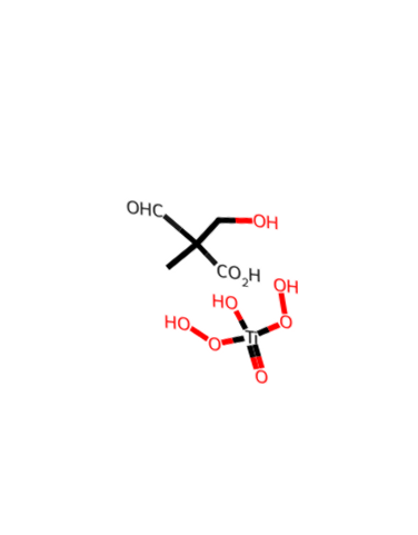 CC(C=O)(CO)C(=O)O.[O]=[Ti]([OH])([O]O)[O]O